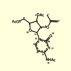 C=C(C)OC1C(OC(C)=O)C(COC(C)=O)OC1n1ccc(NC(C)=O)nc1=O